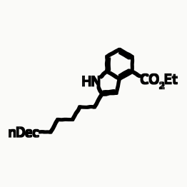 CCCCCCCCCCCCCCCc1cc2c(C(=O)OCC)cccc2[nH]1